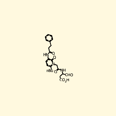 CCCCc1ccc(NC(=O)CCc2ccccc2)c(=O)n1CC(=O)NC(C=O)CC(=O)O